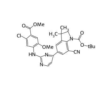 COC(=O)c1cc(OC)c(Nc2nccc(-c3cc(C#N)c4c(c3)C(C)(C)CN4C(=O)OC(C)(C)C)n2)cc1Cl